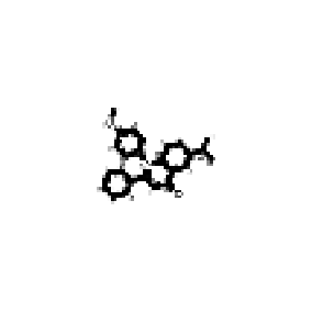 COc1ccc(-n2c(-c3ccccc3)cc(=O)c3cc(C(C)C)ccc32)cc1